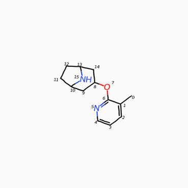 Cc1cccnc1OC1CC2CCC(C1)N2